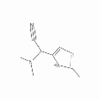 Cc1ccc(C(C#N)N(C)C)[nH]1